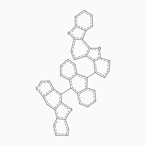 c1ccc2c(c1)oc1ccc3c(oc4cccc(-c5c6ccccc6c(-c6c7ccsc7cc7c6sc6ccccc67)c6ccccc56)c43)c12